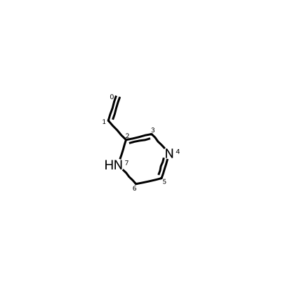 C=CC1=CN=CCN1